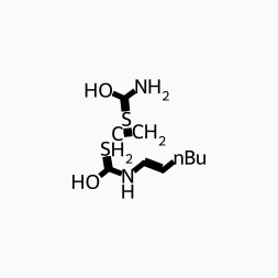 C=C.CCCCC=CNC(O)=S.NC(O)=S